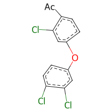 CC(=O)c1ccc(Oc2ccc(Cl)c(Cl)c2)cc1Cl